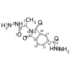 CC(C(=O)NN)N1C(=O)c2ccc(C(=O)NN)cc2C1=O